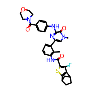 Cc1c(NC(=O)c2sc3c(c2F)C2CCC3C2)cccc1-c1cn(C)c(=O)c(Nc2ccc(C(=O)N3CCOCC3)cc2)n1